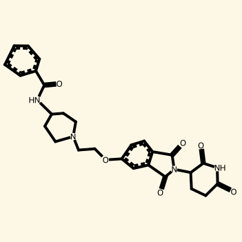 O=C1CCC(N2C(=O)c3ccc(OCCN4CCC(NC(=O)c5ccccc5)CC4)cc3C2=O)C(=O)N1